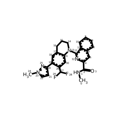 CNC(=O)c1cc2ccccc2c(N2CCCc3cc(-c4ccn(C)n4)c(C(F)F)cc32)n1